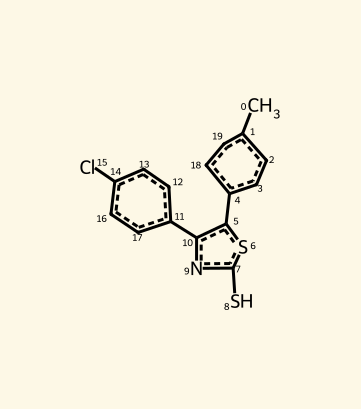 Cc1ccc(-c2sc(S)nc2-c2ccc(Cl)cc2)cc1